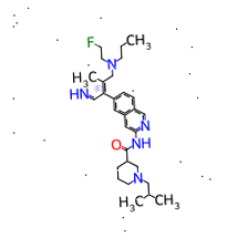 CCCN(CCF)C/C(C)=C(/C=N)c1ccc2cnc(NC(=O)C3CCCN(CC(C)C)C3)cc2c1